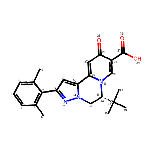 Cc1cccc(C)c1-c1cc2n(n1)C[C@@H](C(C)(C)C)n1cc(C(=O)O)c(=O)cc1-2